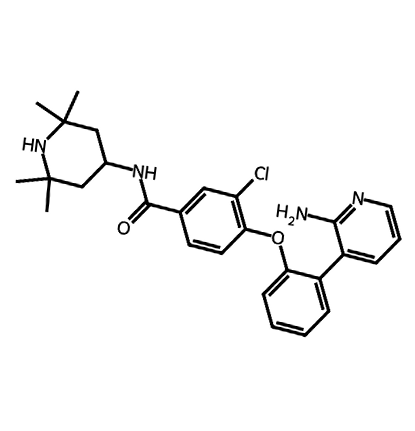 CC1(C)CC(NC(=O)c2ccc(Oc3ccccc3-c3cccnc3N)c(Cl)c2)CC(C)(C)N1